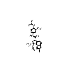 CC1(C)CC(C(=O)Nc2cc(C#N)c(OC(F)F)cn2)c2cnc3cc(F)nn3c21